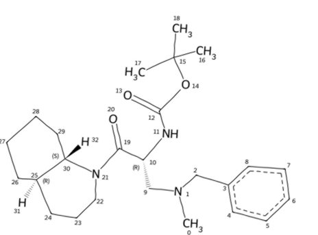 CN(Cc1ccccc1)C[C@@H](NC(=O)OC(C)(C)C)C(=O)N1CCC[C@H]2CCCC[C@@H]21